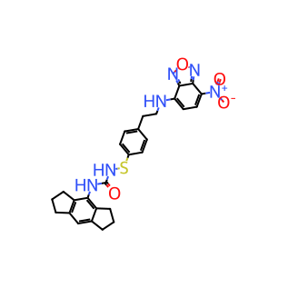 O=C(NSc1ccc(CCNc2ccc([N+](=O)[O-])c3nonc23)cc1)Nc1c2c(cc3c1CCC3)CCC2